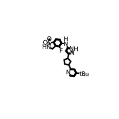 CC(C)(C)c1ccnc(C2CCC(c3cc(Nc4ccc5c(c4F)CNS5(=O)=O)[nH]n3)C2)c1